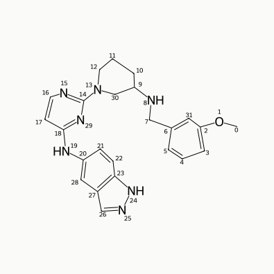 COc1cccc(CNC2CCCN(c3nccc(Nc4ccc5[nH]ncc5c4)n3)C2)c1